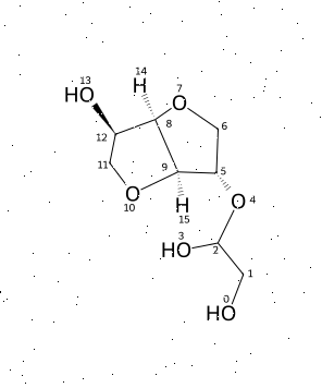 OCC(O)O[C@H]1CO[C@H]2[C@@H]1OC[C@H]2O